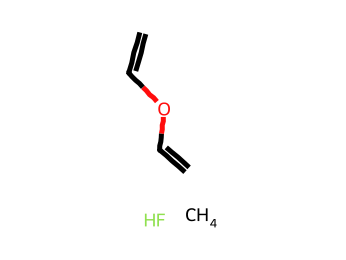 C.C=COC=C.F